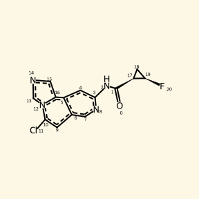 O=C(Nc1cc2c(cn1)cc(Cl)n1cncc21)[C@H]1C[C@H]1F